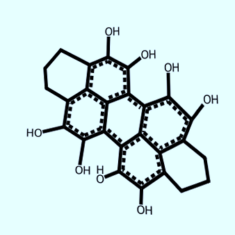 Oc1c2c3c(c(O)c(O)c4c5c(O)c(O)c6c7c(c(O)c(O)c(c(c1O)c34)c75)CCC6)CCC2